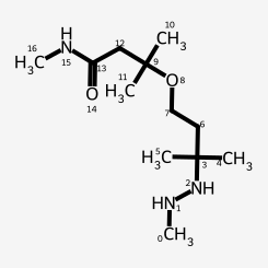 CNNC(C)(C)CCOC(C)(C)CC(=O)NC